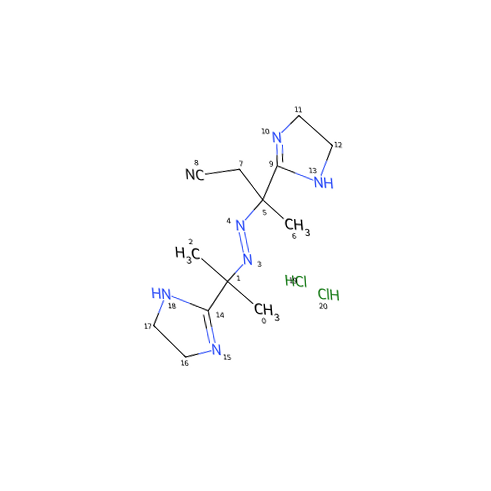 CC(C)(N=NC(C)(CC#N)C1=NCCN1)C1=NCCN1.Cl.Cl